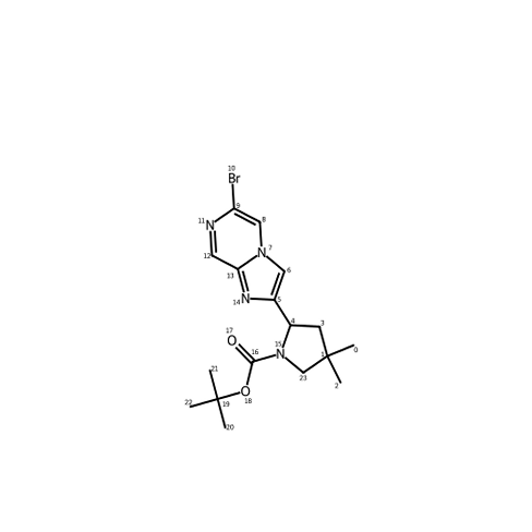 CC1(C)CC(c2cn3cc(Br)ncc3n2)N(C(=O)OC(C)(C)C)C1